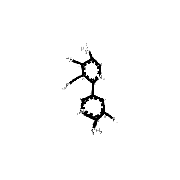 Cc1cnc(-c2cnc(C)c(F)c2)c(F)c1F